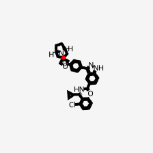 O=C(N[C@H](c1ccccc1Cl)C1CC1)c1ccc2[nH]nc(-c3ccc(O[C@H]4C[C@H]5CC[C@@H](C4)N5C4COC4)cc3)c2c1